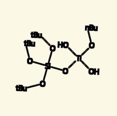 CCCC[O][Ti]([OH])([OH])[O][Si](OC(C)(C)C)(OC(C)(C)C)OC(C)(C)C